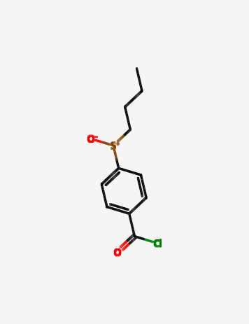 CCCC[S+]([O-])c1ccc(C(=O)Cl)cc1